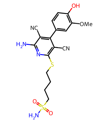 COc1cc(-c2c(C#N)c(N)nc(SCCCCS(N)(=O)=O)c2C#N)ccc1O